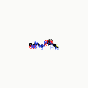 Cc1ncsc1-c1ccc([C@H](C)NC(=O)[C@@H]2CCCN2C(=O)[C@@H](c2cc(OCCN3CCN(CC#CCn4cc(-c5cc(-c6ccccc6O)nnc5N)cn4)CC3)no2)C(C)C)cc1